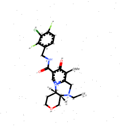 COc1c2n(cc(C(=O)NCc3ccc(F)c(Cl)c3F)c1=O)[C@H]1CCOC[C@H]1N(CC(F)(F)F)C2